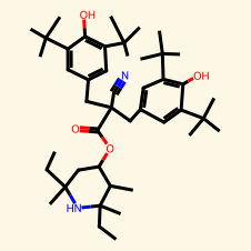 CCC1(C)CC(OC(=O)C(C#N)(Cc2cc(C(C)(C)C)c(O)c(C(C)(C)C)c2)Cc2cc(C(C)(C)C)c(O)c(C(C)(C)C)c2)C(C)C(C)(CC)N1